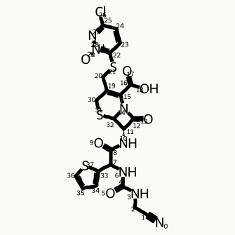 N#CCNC(=O)NC(C(=O)N[C@H]1C(=O)N2C(C(=O)O)=C(CSc3ccc(Cl)n[n+]3[O-])CSC12)c1cccs1